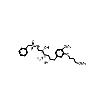 COCCCOc1cc(C[C@@H](C[C@H](N)[C@@H](O)CNS(=O)(=O)Cc2ccccc2)C(C)C)ccc1OC